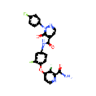 NC(=O)c1nccc(Oc2ccc(NC(=O)c3ccnn(-c4ccc(F)cc4)c3=O)cc2F)c1Cl